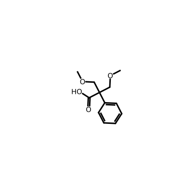 COCC(COC)(C(=O)O)c1ccccc1